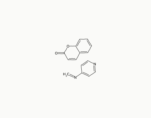 C=Nc1ccncc1.O=c1ccc2ccccc2o1